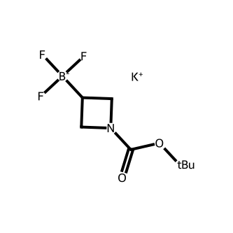 CC(C)(C)OC(=O)N1CC([B-](F)(F)F)C1.[K+]